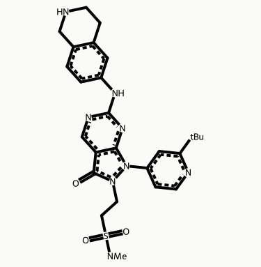 CNS(=O)(=O)CCn1c(=O)c2cnc(Nc3ccc4c(c3)CCNC4)nc2n1-c1ccnc(C(C)(C)C)c1